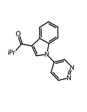 CC(C)C(=O)c1cn(-c2ccnnc2)c2ccccc12